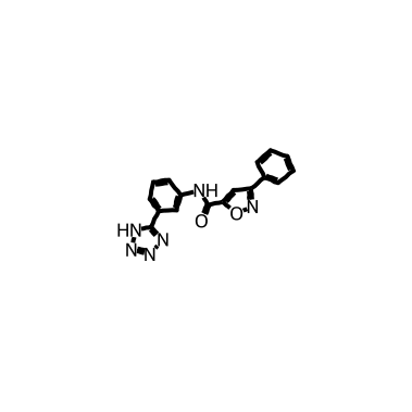 O=C(Nc1cccc(-c2nnn[nH]2)c1)c1cc(-c2ccccc2)no1